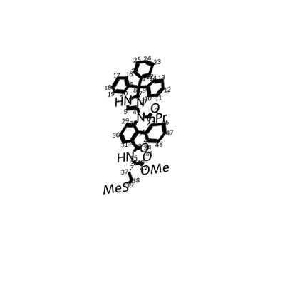 CCCC(=O)N(c1c[nH]c(C(c2ccccc2)(c2ccccc2)c2ccccc2)n1)c1cccc(C(=O)N[C@@H](CCSC)C(=O)OC)c1-c1ccccc1